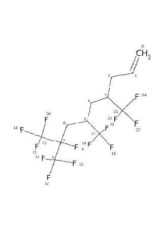 C=CCC(CC(CC(F)(C(F)(F)F)C(F)(F)F)C(F)(F)F)C(F)(F)F